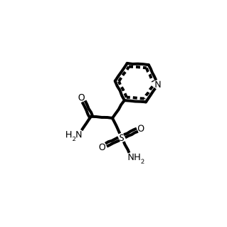 NC(=O)C(c1cccnc1)S(N)(=O)=O